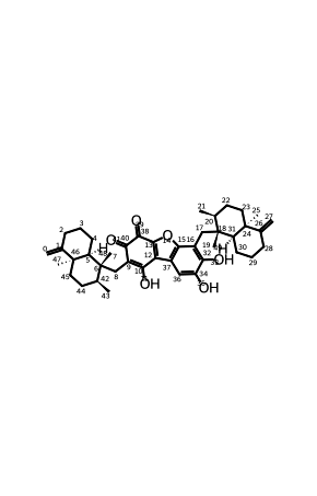 C=C1CCC[C@H]2[C@](C)(CC3=C(O)c4c(oc5c(C[C@]6(C)[C@@H](C)CC[C@@]7(C)C(=C)CCC[C@@H]67)c(O)c(O)cc45)C(=O)C3=O)[C@@H](C)CC[C@@]12C